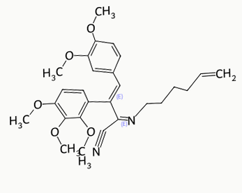 C=CCCCC/N=C(C#N)\C(=C\c1ccc(OC)c(OC)c1)c1ccc(OC)c(OC)c1OC